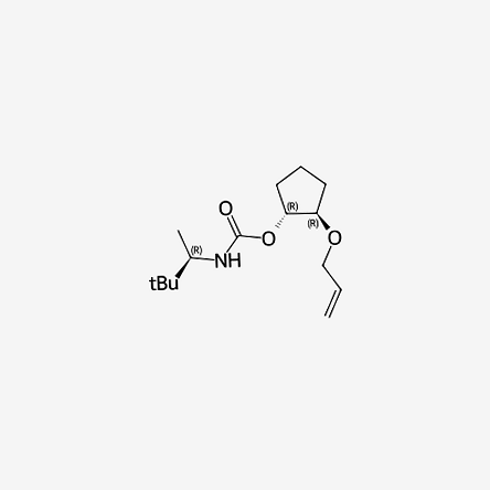 C=CCO[C@@H]1CCC[C@H]1OC(=O)N[C@H](C)C(C)(C)C